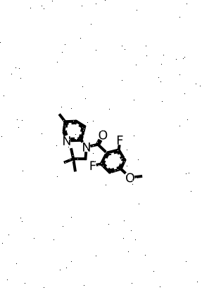 COc1cc(F)c(C(=O)N(CC(C)(C)C)c2ccc(C)cn2)c(F)c1